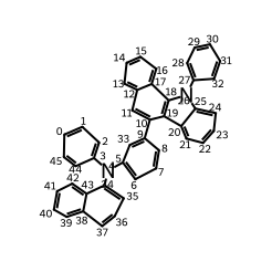 c1ccc(N(c2cccc(-c3cc4ccccc4c4c3c3ccccc3n4-c3ccccc3)c2)c2cccc3ccccc23)cc1